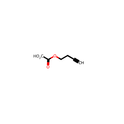 C#CCCOC(=O)C(=O)O